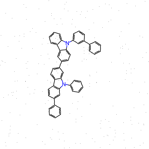 c1ccc(-c2cccc(-n3c4ccccc4c4cc(-c5ccc6c7ccc(-c8ccccc8)cc7n(-c7ccccc7)c6c5)ccc43)c2)cc1